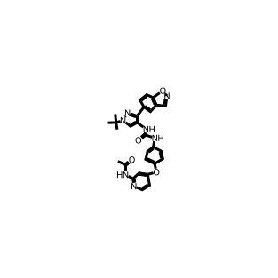 CC(=O)Nc1cc(Oc2ccc(NC(=O)Nc3cn(C(C)(C)C)nc3-c3ccc4oncc4c3)cc2)ccn1